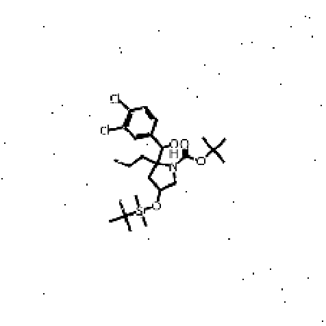 CCCC1(C(O)c2ccc(Cl)c(Cl)c2)CC(O[Si](C)(C)C(C)(C)C)CN1C(=O)OC(C)(C)C